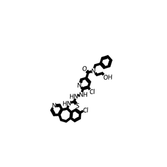 O=C(c1cnc(NNC(=S)NC2c3cnccc3CCc3ccc(Cl)cc32)c(Cl)c1)N(CCO)Cc1ccccc1